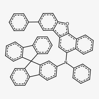 c1ccc(-c2ccc3oc4c5ccccc5c(N(c5ccccc5)c5ccc6c(c5)C5(c7ccccc7-c7ccccc75)c5ccccc5-6)cc4c3c2)cc1